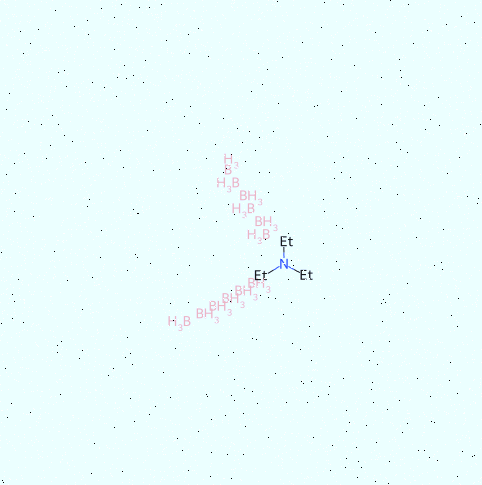 B.B.B.B.B.B.B.B.B.B.B.B.CCN(CC)CC